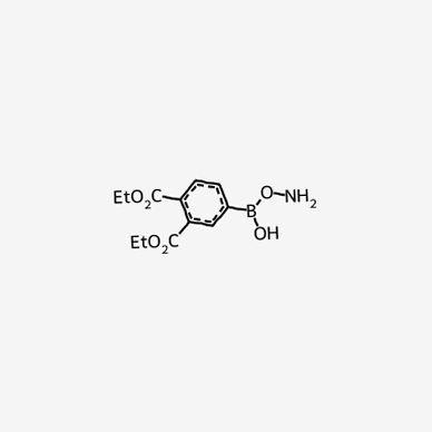 CCOC(=O)c1ccc(B(O)ON)cc1C(=O)OCC